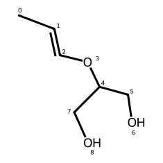 CC=COC(CO)CO